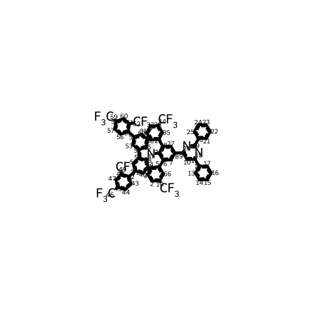 FC(F)(F)c1cccc(-c2cc(-c3cc(-c4ccccc4)nc(-c4ccccc4)n3)cc(-c3cccc(C(F)(F)F)c3)c2-n2c3ccc(-c4ccc(C(F)(F)F)cc4C(F)(F)F)cc3c3cc(-c4ccc(C(F)(F)F)cc4C(F)(F)F)ccc32)c1